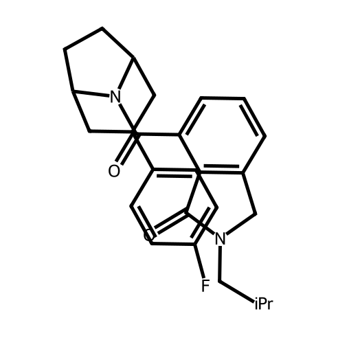 CC(C)CN1Cc2cccc(C(=O)N3C4CCC3CC(c3ccc(F)cc3)C4)c2C1=O